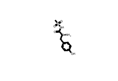 CS(=O)(=O)NC(=O)[C@@H](N)Cc1ccc(O)cc1